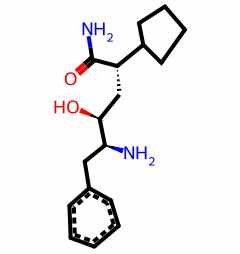 NC(=O)[C@@H](C[C@H](O)[C@@H](N)Cc1ccccc1)C1CCCC1